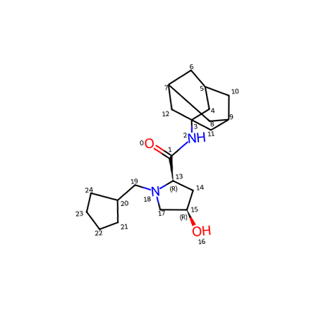 O=C(NC12CC3CC(CC(C3)C1)C2)[C@H]1C[C@@H](O)CN1CC1CCCC1